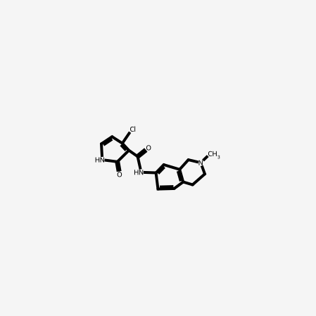 CN1CCc2ccc(NC(=O)c3c(Cl)cc[nH]c3=O)cc2C1